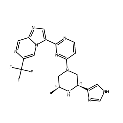 C[C@H]1CN(c2ccnc(-c3cnc4cnc(C(F)(F)F)cn34)n2)C[C@@H](c2c[nH]cn2)N1